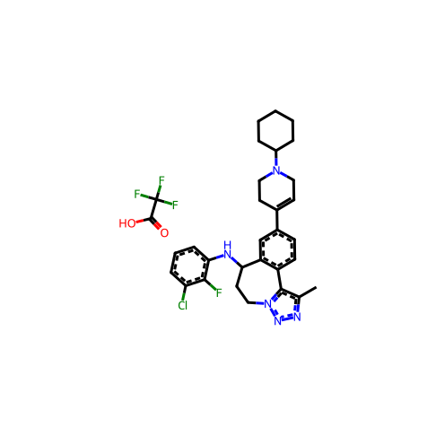 Cc1nnn2c1-c1ccc(C3=CCN(C4CCCCC4)CC3)cc1C(Nc1cccc(Cl)c1F)CC2.O=C(O)C(F)(F)F